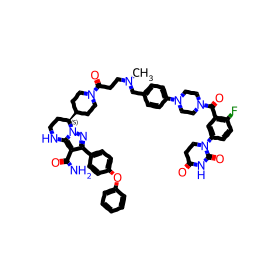 CN(CCC(=O)N1CCC([C@@H]2CCNc3c(C(N)=O)c(-c4ccc(Oc5ccccc5)cc4)nn32)CC1)Cc1ccc(N2CCN(C(=O)c3cc(N4CCC(=O)NC4=O)ccc3F)CC2)cc1